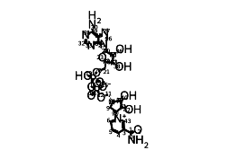 NC(=O)c1ccc[n+]([C@@H]2C[C@H](COP(=O)([O-])OP(=O)(O)OC[C@H]3O[C@@H](n4cnc5c(N)ncnc54)[C@H](O)[C@@H]3O)[C@@H](O)[C@H]2O)c1